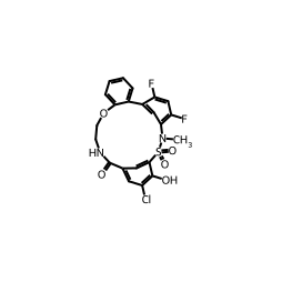 CN1c2cc(c(F)cc2F)-c2ccccc2OCCNC(=O)c2cc(Cl)c(O)c(c2)S1(=O)=O